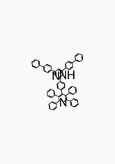 C1=C(c2ccc(-c3ccccc3)cc2)NC(c2ccc(-c3c(-c4ccccc4)c(-c4ccccc4)nc(-c4ccccc4)c3-c3ccccc3)cc2)N=C1c1ccc(-c2ccccc2)cc1